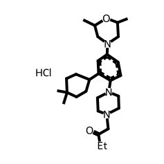 CCC(=O)CN1CCN(c2ccc(N3CC(C)OC(C)C3)cc2C2CCC(C)(C)CC2)CC1.Cl